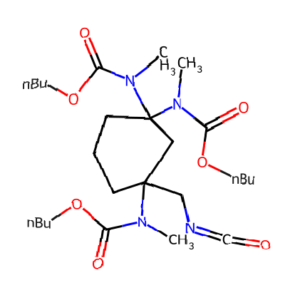 CCCCOC(=O)N(C)C1(CN=C=O)CCCC(N(C)C(=O)OCCCC)(N(C)C(=O)OCCCC)C1